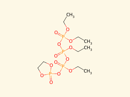 CCOP(=O)(OCC)OP(=O)(OCC)OP(=O)(OCC)OP1(=O)OCCO1